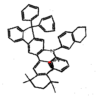 CC(C)c1cc2c(cc1-c1cc3c(cc1N(c1ccccc1)c1ccc4c(c1)CCCC4)C(c1ccccc1)(c1ccccc1)c1ccccc1-3)C(C)(C)CCC2(C)C